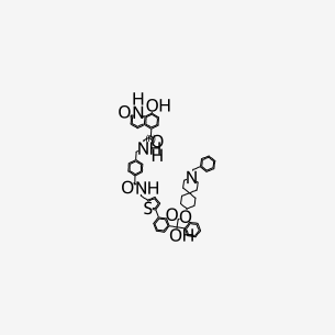 O=C(NCc1ccc(-c2cccc(C(O)(C(=O)OC3CCC4(CC3)CCN(Cc3ccccc3)CC4)c3ccccc3)c2)s1)c1ccc(CNC[C@H](O)c2ccc(O)c3[nH]c(=O)ccc23)cc1